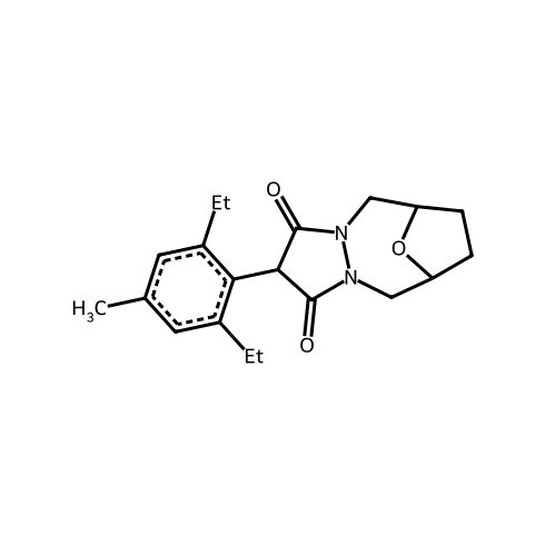 CCc1cc(C)cc(CC)c1C1C(=O)N2CC3CCC(CN2C1=O)O3